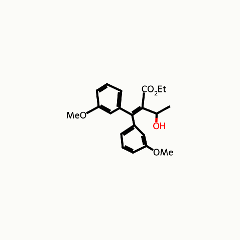 CCOC(=O)C(=C(c1cccc(OC)c1)c1cccc(OC)c1)C(C)O